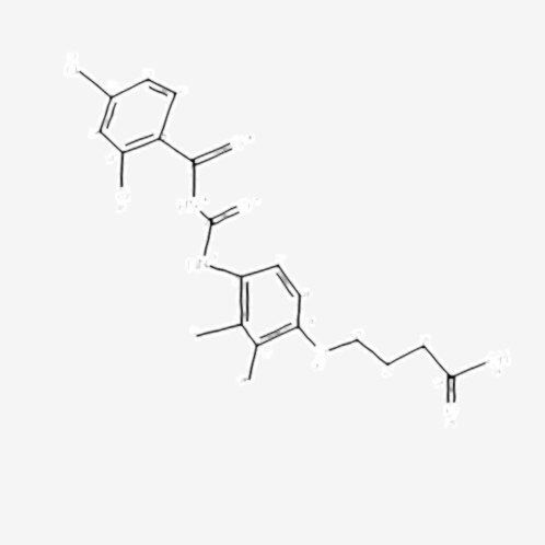 Cc1c(NC(=O)NC(=O)c2ccc(Cl)cc2Cl)ccc(OCCCC(=O)O)c1C